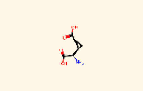 N[C@H](C(=O)O)[C@@H]1C[C@@H]1C(=O)O